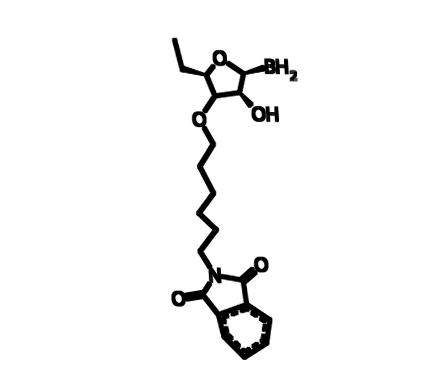 B[C@@H]1O[C@H](CC)C(OCCCCCCN2C(=O)c3ccccc3C2=O)[C@@H]1O